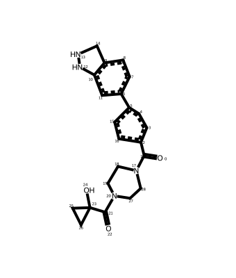 O=C(c1ccc(-c2ccc3c(c2)NNC3)cc1)N1CCN(C(=O)C2(O)CC2)CC1